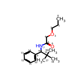 CCCOCC(=O)NC(c1ccccc1)C(C)(C)C